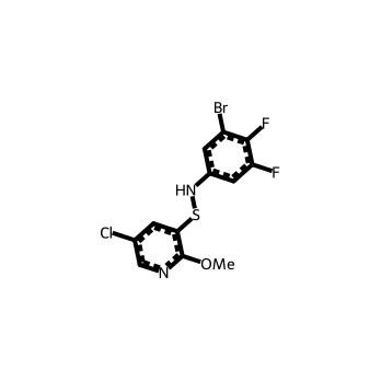 COc1ncc(Cl)cc1SNc1cc(F)c(F)c(Br)c1